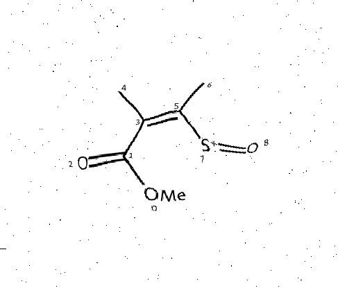 COC(=O)C(C)=C(C)[S+]=O